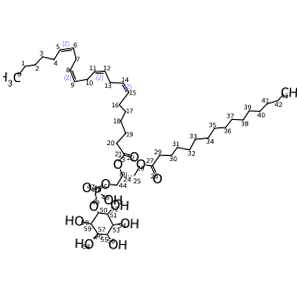 CCCCC/C=C\C/C=C\C/C=C\C/C=C\CCCCCC(=O)O[C@H](COC(=O)CCCCCCCCCCCCCCC)COP(=O)(O)OC1C(O)C(O)C(O)[C@@H](O)C1O